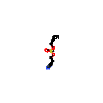 C#CCOS(=O)OCCC#N